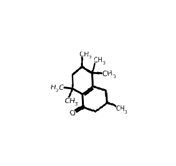 CC1CC(=O)C2=C(C1)C(C)(C)C(C)CC2(C)C